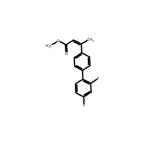 COC(=O)/C=C(/C)c1ccc(-c2ccc(F)cc2F)cc1